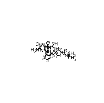 CN(C)CC(=O)N1CCC(CCc2ccccc2)(CNC(=N)NC(=O)c2nc(Cl)c(N)nc2N)CC1